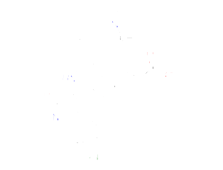 CN(C)Cc1ccc(N/C(=C2\C(=O)Nc3cc(Cl)ccc32)c2cc(CCC(=O)O)cs2)cc1